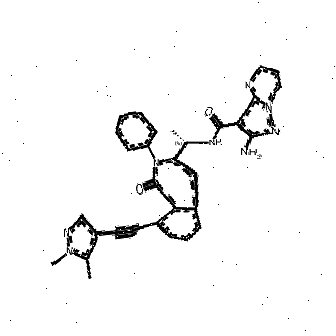 Cc1c(C#Cc2cccc3cc([C@H](C)NC(=O)c4c(N)nn5cccnc45)n(-c4ccccc4)c(=O)c23)cnn1C